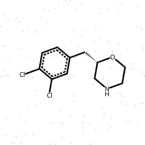 Clc1ccc(C[C@H]2CNCCO2)cc1Cl